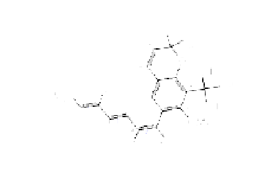 CCOC(=O)/C=C(C)/C=C/C(F)=C(/CC)c1cc2c(c(C(C)(C)Cl)c1OC)OC(C)(C)C=C2